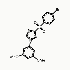 COc1cc(OC)cc(-n2cnc(S(=O)(=O)c3ccc(Br)cc3)c2)c1